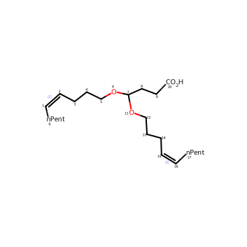 CCCCC/C=C\CCCOC(CCC(=O)O)OCCC/C=C\CCCCC